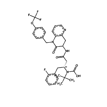 CC(C)(C)N(C(=O)O)[C@@H](CC(=O)NC1Cc2ncccc2N(Cc2ccc(OC(F)(F)F)cc2)C1=O)Cc1ccccc1F